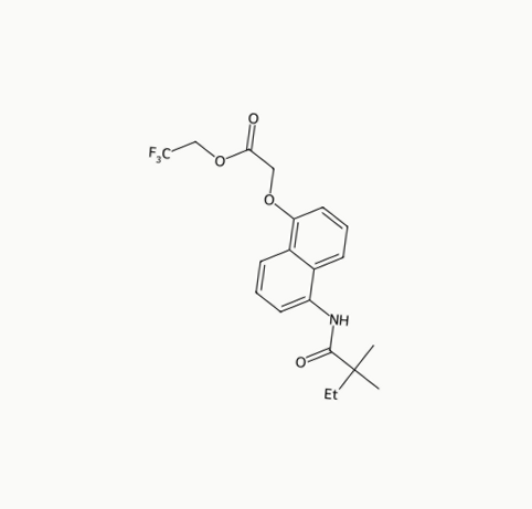 CCC(C)(C)C(=O)Nc1cccc2c(OCC(=O)OCC(F)(F)F)cccc12